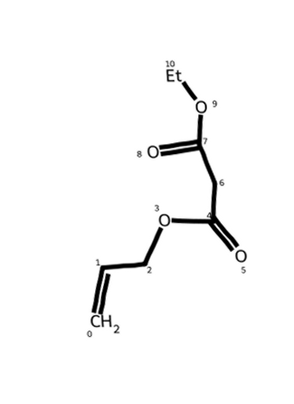 C=CCOC(=O)CC(=O)OCC